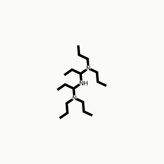 CCCN(CCC)C(CC)NC(CC)N(CCC)CCC